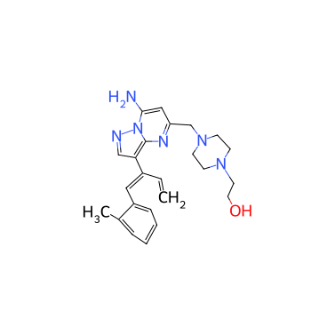 C=C/C(=C\c1ccccc1C)c1cnn2c(N)cc(CN3CCN(CCO)CC3)nc12